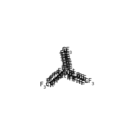 CCC(N(C(CC)C(F)(F)C(F)(F)C(F)(F)C(F)(F)C(F)(F)C(F)(F)C(F)(F)C(F)(F)F)C(CC)C(F)(F)C(F)(F)C(F)(F)C(F)(F)C(F)(F)C(F)(F)C(F)(F)C(F)(F)F)C(F)(F)C(F)(F)C(F)(F)C(F)(F)C(F)(F)C(F)(F)C(F)(F)C(F)(F)F